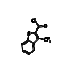 O=C(Cl)c1sc2ccccc2c1C(F)(F)F